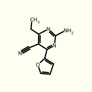 CCc1nc(N)nc(-c2ccco2)c1C#N